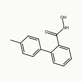 Cc1ccc(-c2ccccc2C(=O)NO)cc1